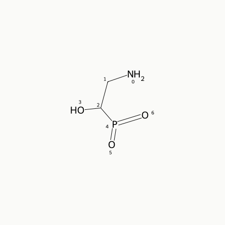 NCC(O)P(=O)=O